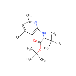 Cc1cc(C)nc(NC(C(=O)OC(C)(C)C)C(C)(C)C)c1